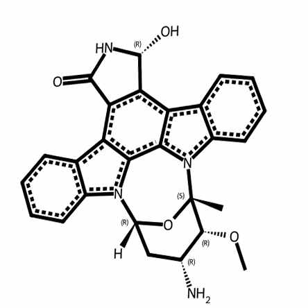 CO[C@@H]1[C@H](N)C[C@H]2O[C@]1(C)n1c3ccccc3c3c4c(c5c6ccccc6n2c5c31)C(=O)N[C@@H]4O